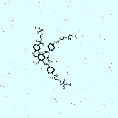 CCNCCOOSc1ccc(N=Nc2c(N)c(/N=N\c3ccc(S(=O)(=O)CCOS(=O)(=O)O)cc3)c(N)c(N=Nc3ccc(S(=O)(=O)CCOS(=O)(=O)O)cc3)c2C(=O)O)cc1